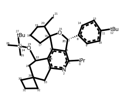 CC(C)c1nc2c(c3c1[C@@H](c1ccc(C(C)(C)C)cc1)OC31CCCC1I)C(O[Si](C)(C)C(C)(C)C)CC1(CCC1)C2